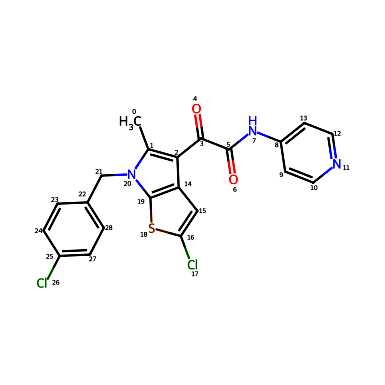 Cc1c(C(=O)C(=O)Nc2ccncc2)c2cc(Cl)sc2n1Cc1ccc(Cl)cc1